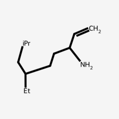 C=CC(N)CCC(CC)CC(C)C